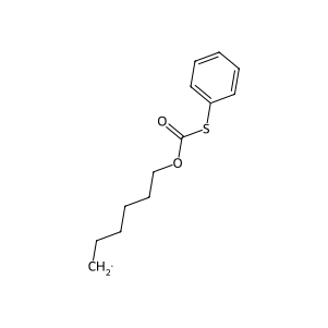 [CH2]CCCCCOC(=O)Sc1ccccc1